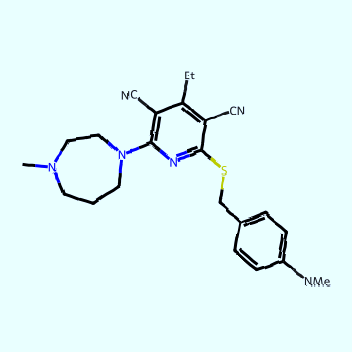 CCc1c(C#N)c(SCc2ccc(NC)cc2)nc(N2CCCN(C)CC2)c1C#N